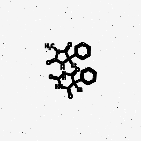 CCC1(c2ccccc2)C(=O)NC(=O)NC1=O.CCC1(c2ccccc2)NC(=O)N(C)C1=O